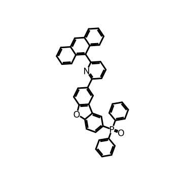 O=P(c1ccccc1)(c1ccccc1)c1ccc2oc3ccc(-c4cccc(-c5c6ccccc6cc6ccccc56)n4)cc3c2c1